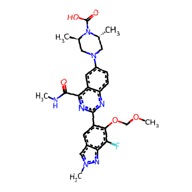 CNC(=O)c1nc(-c2cc3cn(C)nc3c(F)c2OCOC)nc2ccc(N3C[C@@H](C)N(C(=O)O)[C@H](C)C3)cc12